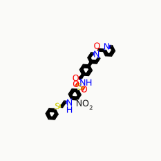 O=C(NS(=O)(=O)c1ccc(NCCSc2ccccc2)c([N+](=O)[O-])c1)c1ccc(C2=CCN(C(=O)c3ccccn3)CC2)cc1